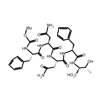 C[C@@H](O)[C@H](NC(=O)[C@H](Cc1ccccc1)NC(=O)[C@H](CC(N)=O)NC(=O)[C@H](CC(N)=O)NC(=O)[C@H](Cc1ccccc1)NC(=O)OC(C)(C)C)C(=O)O